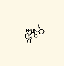 O=C(Nc1ccccc1I)c1cnn2ccc(Cl)nc12